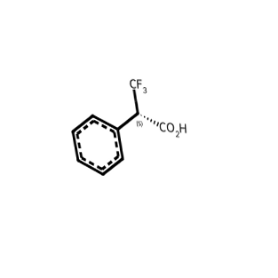 O=C(O)[C@H](c1ccccc1)C(F)(F)F